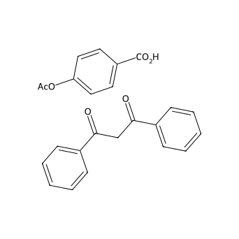 CC(=O)Oc1ccc(C(=O)O)cc1.O=C(CC(=O)c1ccccc1)c1ccccc1